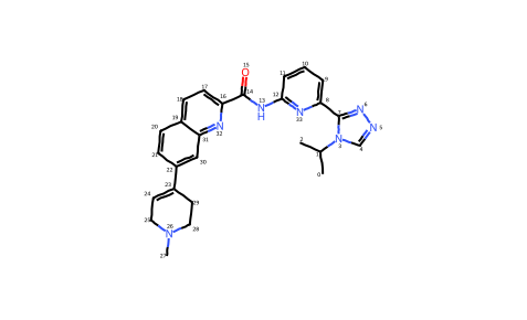 CC(C)n1cnnc1-c1cccc(NC(=O)c2ccc3ccc(C4=CCN(C)CC4)cc3n2)n1